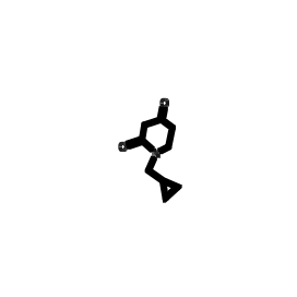 O=C1CCN(CC2CC2)C(=O)C1